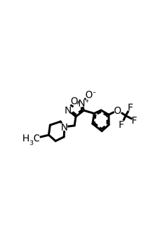 CC1CCN(Cc2no[n+]([O-])c2-c2cccc(OC(F)(F)F)c2)CC1